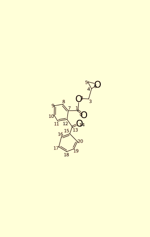 O=C(OCC1CO1)c1ccccc1C(=O)c1ccccc1